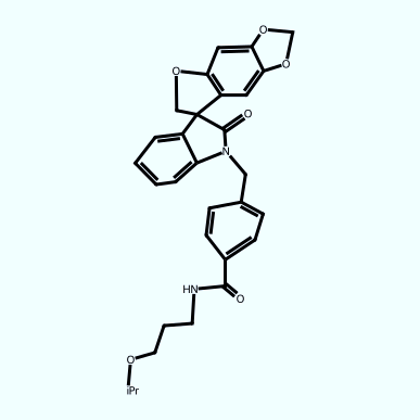 CC(C)OCCCNC(=O)c1ccc(CN2C(=O)C3(COc4cc5c(cc43)OCO5)c3ccccc32)cc1